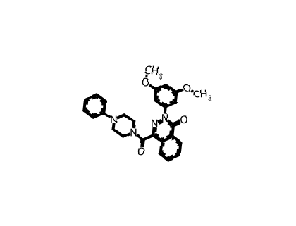 COc1cc(OC)cc(-n2nc(C(=O)N3CCN(c4ccccc4)CC3)c3ccccc3c2=O)c1